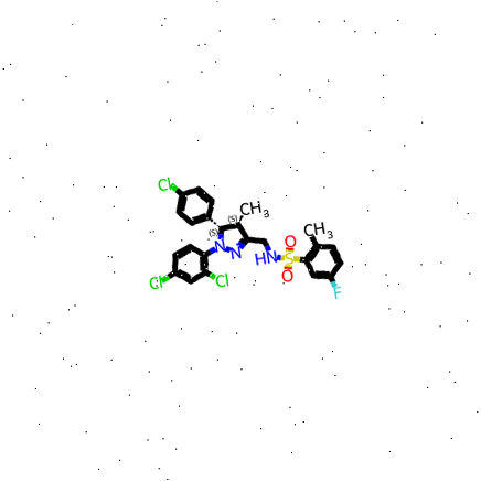 Cc1ccc(F)cc1S(=O)(=O)NCC1=NN(c2ccc(Cl)cc2Cl)[C@H](c2ccc(Cl)cc2)[C@@H]1C